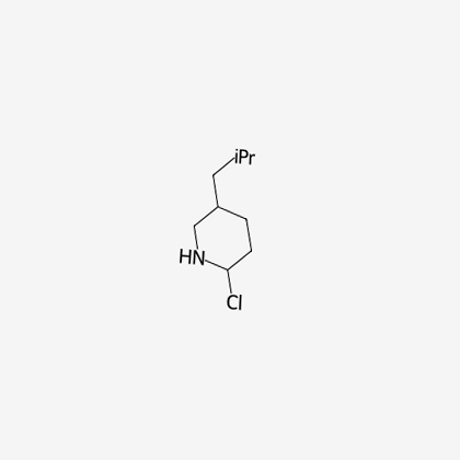 CC(C)CC1CCC(Cl)NC1